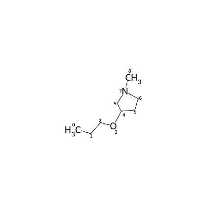 CCCOC1CCN(C)C1